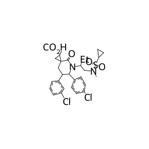 CCC(CN(C)S(=O)(=O)C1CC1)N1C(=O)C2(CC(c3cccc(Cl)c3)C1c1ccc(Cl)cc1)CC2C(=O)O